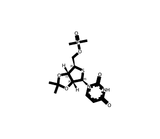 CC1(C)O[C@@H]2[C@H](O1)[C@@H](COP(C)(C)=O)S[C@H]2n1ccc(=O)[nH]c1=O